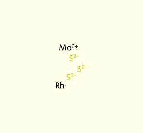 [Mo+6].[Rh].[S-2].[S-2].[S-2]